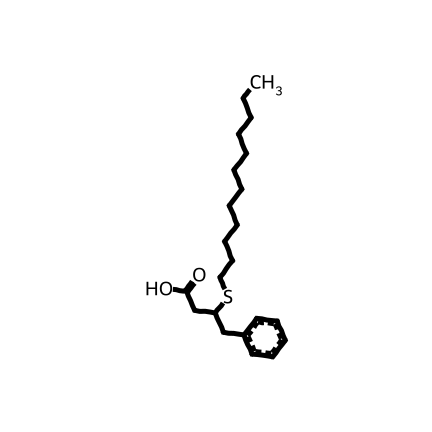 CCCCCCCCCCCCSC(CC(=O)O)Cc1ccccc1